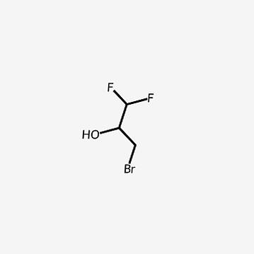 OC(CBr)C(F)F